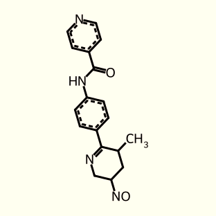 CC1CC(N=O)CN=C1c1ccc(NC(=O)c2ccncc2)cc1